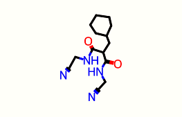 N#CCNC(=O)C(CC1CCCCC1)C(=O)NCC#N